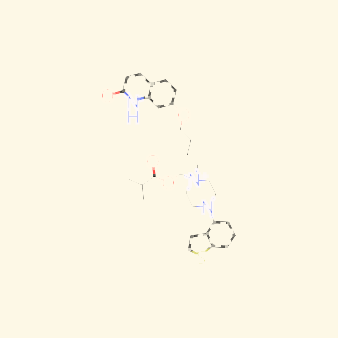 CC(C)C(=O)OC[N+]1(CCCCOc2ccc3ccc(=O)[nH]c3c2)CCN(c2cccc3sccc23)CC1